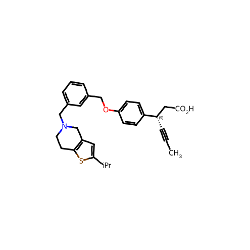 CC#C[C@@H](CC(=O)O)c1ccc(OCc2cccc(CN3CCc4sc(C(C)C)cc4C3)c2)cc1